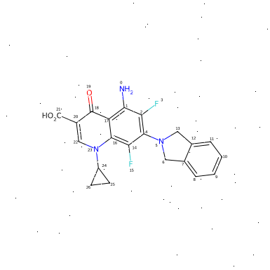 Nc1c(F)c(N2Cc3ccccc3C2)c(F)c2c1c(=O)c(C(=O)O)cn2C1CC1